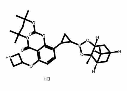 CC(C)(C)OC(=O)Oc1c(C2CC2B2O[C@@H]3C[C@@H]4C[C@@H](C4(C)C)[C@]3(C)O2)ccc(OC2CNC2)c1C(=O)OC(C)(C)C.Cl